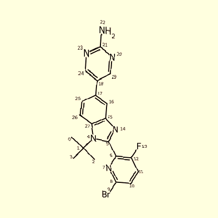 CC(C)(C)n1c(-c2nc(Br)ccc2F)nc2cc(-c3cnc(N)nc3)ccc21